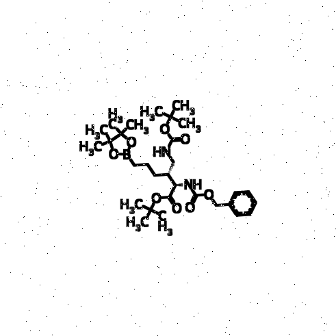 CC(C)(C)OC(=O)NC[C@@H](CCCB1OC(C)(C)C(C)(C)O1)[C@H](NC(=O)OCc1ccccc1)C(=O)OC(C)(C)C